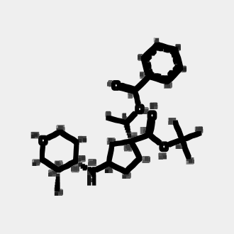 CC(OC(=O)c1ccccc1)[C@]1(C(=O)OC(C)(C)C)CCC(N[C@H]2CCOC[C@H]2C)C1